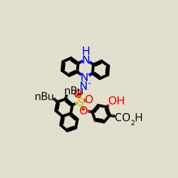 CCCCc1cc2ccccc2c(S(=O)(=O)Oc2ccc(C(=O)O)c(O)c2)c1CCCC.[N-]=[N+]1c2ccccc2Nc2ccccc21